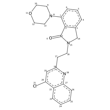 O=C1c2c(cccc2N2CCOCC2)CN1CCc1cc(Cl)c2ccccc2n1